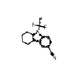 N#Cc1ccc2c(c1)c1c(n2C(F)(F)F)CCCC1